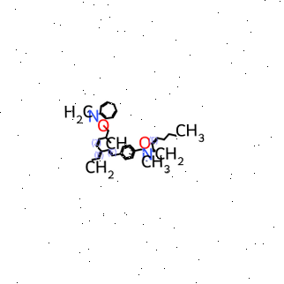 C=C/C=C(\C=C/C(C)COC1=C(N=C)C=CCC=C1)/C=C/c1ccc(C2O/C(=C/CCCC)C(=C)N2C)cc1